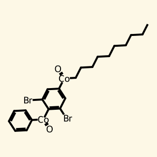 CCCCCCCCC[CH2][Co](=[O])[c]1cc(Br)[c]([Co](=[O])[c]2ccccc2)c(Br)c1